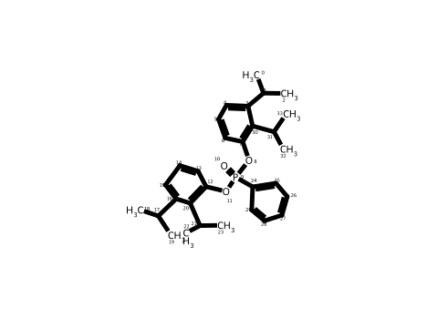 CC(C)c1cccc(OP(=O)(Oc2cccc(C(C)C)c2C(C)C)c2ccccc2)c1C(C)C